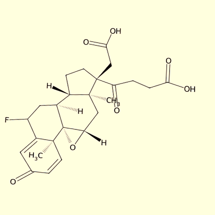 C[C@]12C=CC(=O)C=C1C(F)C[C@H]1[C@@H]3CC[C@](CC(=O)O)(C(=O)CCC(=O)O)[C@@]3(C)C[C@@H]3O[C@@]312